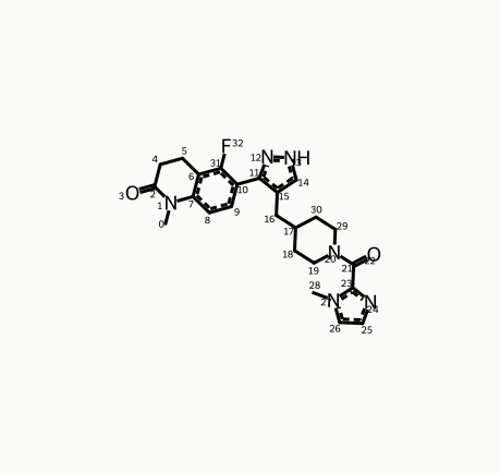 CN1C(=O)CCc2c1ccc(-c1n[nH]cc1CC1CCN(C(=O)c3nccn3C)CC1)c2F